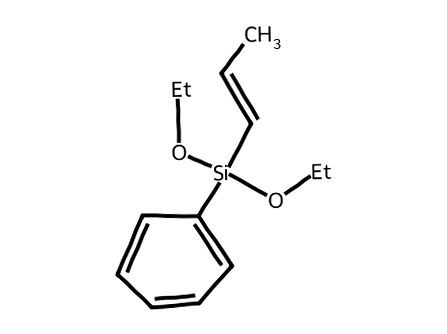 CC=C[Si](OCC)(OCC)c1ccccc1